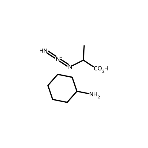 CC(N=[N+]=N)C(=O)O.NC1CCCCC1